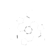 CC(C)(C)OC(=O)N1CC[C@H]([C@H](Cc2cc(C[C@H](C(=O)O)[C@H]3CCN(C(=O)OC(C)(C)C)C3)cc(C[C@H](C(=O)O)[C@H]3CCN(C(=O)OC(C)(C)C)C3)c2)C(=O)O)C1